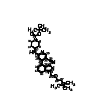 CC(C)(C)OC(=O)N1CCC(Nc2cc(-c3cccc4c3cnn4COCC[Si](C)(C)C)c(C#N)cn2)CC1